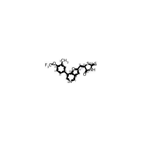 Cc1cc(-c2cncc3cc(/C=C4/SC(=S)NC4=O)oc23)ccc1OC(F)(F)F